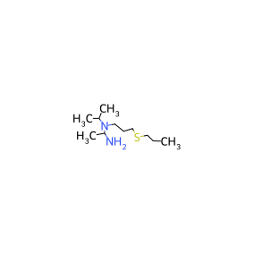 CCCSCCCN(C(C)C)C(C)N